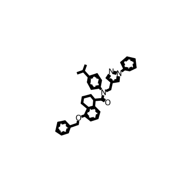 CC(C)c1ccc(N(Cc2cnn(-c3ccccc3)c2)C(=O)C2CCCc3c(OCc4ccccc4)cccc32)cc1